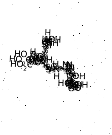 CC(C)(CC(=O)NCC#Cc1cn(C2CC(O)C(COP(=O)(O)OP(=O)(O)OP(=O)(O)O)O2)c2ncnc(N)c12)SSCCCC(NC(=O)CCCCC[C@@H]1SC[C@@H]2NC(O)N[C@@H]21)C(=O)NC(CC(=O)O)C(=O)NC(CC(=O)O)C(=O)O